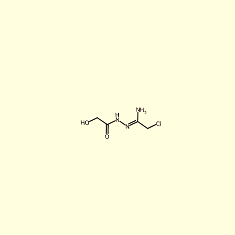 N/C(CCl)=N\NC(=O)CO